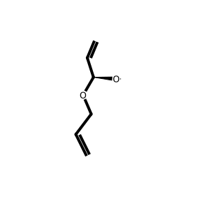 C=CCO[C@H]([O])C=C